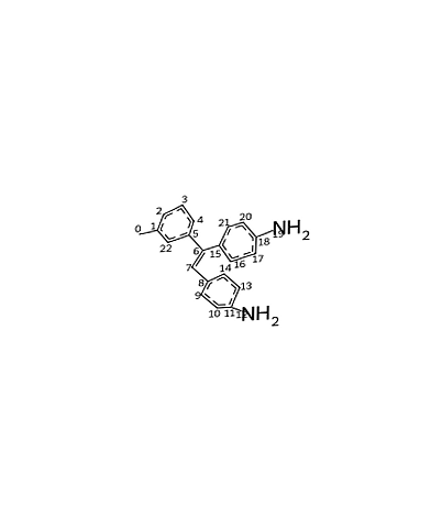 Cc1cccc(C(=Cc2ccc(N)cc2)c2ccc(N)cc2)c1